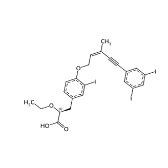 CCO[C@@H](Cc1ccc(OCC=C(C)C#Cc2cc(I)cc(I)c2)c(I)c1)C(=O)O